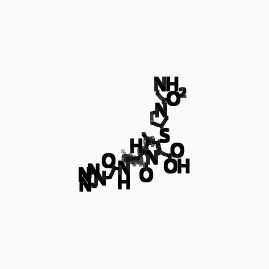 C[C@@H](NC(=O)Cn1cnnn1)[C@H]1C(=O)N2C(C(=O)O)=C(SC3CCN(C(=O)CN)C3)[C@H](C)[C@H]12